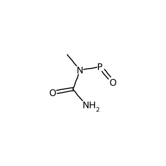 CN(P=O)C(N)=O